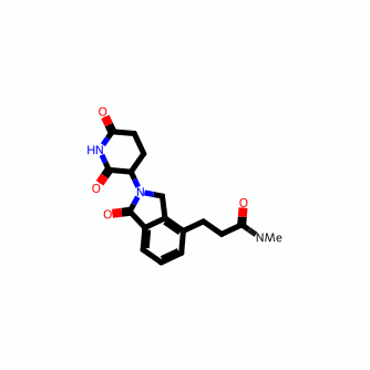 CNC(=O)CCc1cccc2c1CN(C1CCC(=O)NC1=O)C2=O